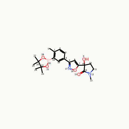 Cc1ccc(-c2cc(C3(O)CCN(C)C3=O)on2)cc1B1OC(C)(C)C(C)(C)O1